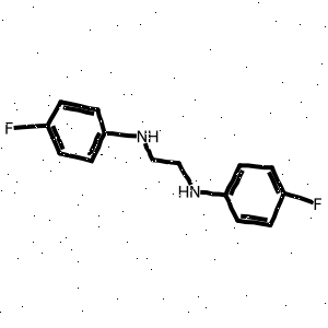 Fc1ccc(NCCNc2ccc(F)cc2)cc1